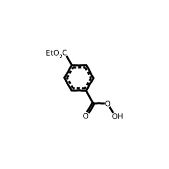 CCOC(=O)c1ccc(C(=O)OO)cc1